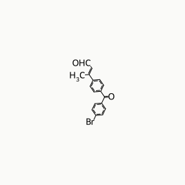 C/C(=C\C=O)c1ccc(C(=O)c2ccc(Br)cc2)cc1